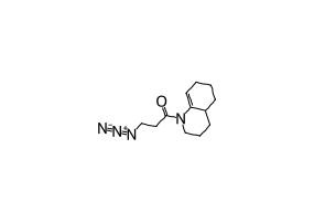 [N-]=[N+]=NCCC(=O)N1CCCC2CCCC=C21